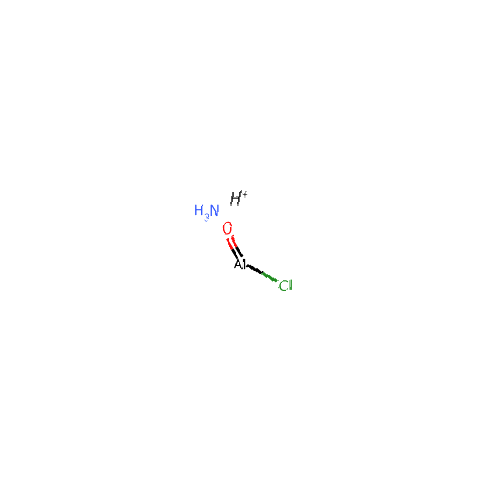 N.[H+].[O]=[Al][Cl]